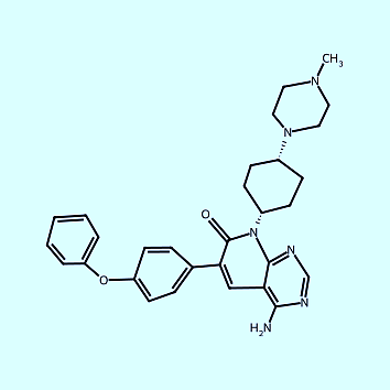 CN1CCN([C@H]2CC[C@@H](n3c(=O)c(-c4ccc(Oc5ccccc5)cc4)cc4c(N)ncnc43)CC2)CC1